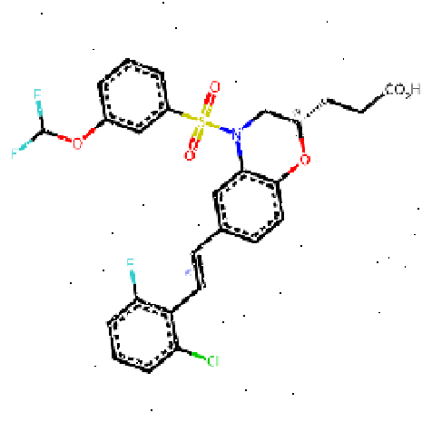 O=C(O)CC[C@H]1CN(S(=O)(=O)c2cccc(OC(F)F)c2)c2cc(/C=C/c3c(F)cccc3Cl)ccc2O1